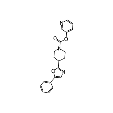 O=C(Oc1cccnc1)N1CCC(c2ncc(-c3ccccc3)o2)CC1